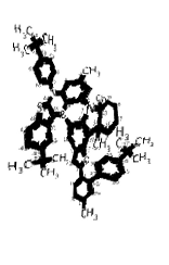 Cc1cc2c3c(c1)N1c4c(cc5cc(C6=CCC(C)C=C6c6ccc(C(C)(C)C)cc6)oc5c4C4(C)CCCCC14C)B3c1c(sc3ccc(C(C)(C)C)cc13)N2c1ccc(C(C)(C)C)cc1